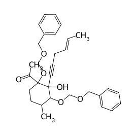 CC=CCC#CC1(O)C(OCOCc2ccccc2)C(C)CCC1(OCOCc1ccccc1)C(C)=O